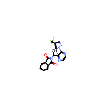 CC(c1nccnc1-n1cc(C(F)(F)F)cn1)N1C(=O)c2ccccc2C1=O